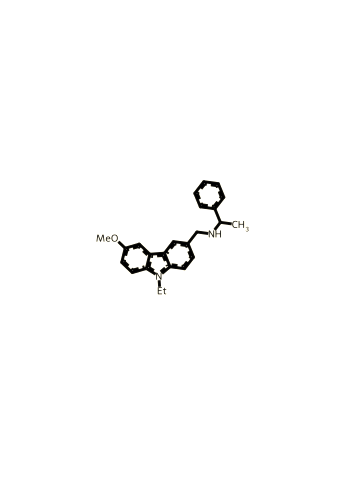 CCn1c2ccc(CNC(C)c3ccccc3)cc2c2cc(OC)ccc21